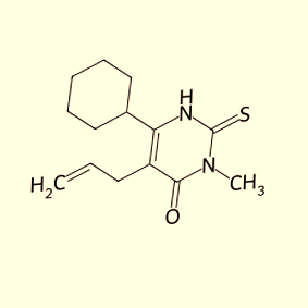 C=CCc1c(C2CCCCC2)[nH]c(=S)n(C)c1=O